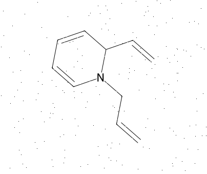 C=CCN1C=CC=CC1C=C